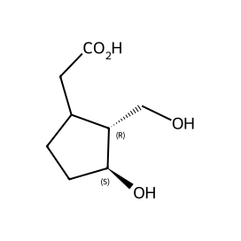 O=C(O)CC1CC[C@H](O)[C@H]1CO